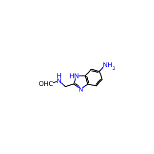 Nc1ccc2nc(CNC=O)[nH]c2c1